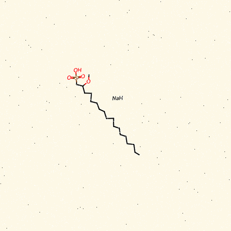 CCCCCCCCCCCCCCCCC(CS(=O)(=O)O)OC.[NaH]